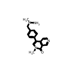 CN(N)Cc1ccc(-c2cn(C)c(=O)c3cnccc23)cc1